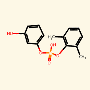 Cc1cccc(C)c1OP(=O)(O)Oc1cccc(O)c1